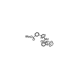 COC(=O)c1cccc(-c2csc(NC(=O)C3(C)CC4c5ccccc5C3CC43OCCO3)n2)c1